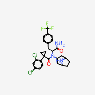 NC(=O)[C@H](Cc1ccc(C(F)(F)F)cc1)N(C(=O)C1(c2ccc(Cl)cc2Cl)CC1)C1CC2CCC(C1)N2